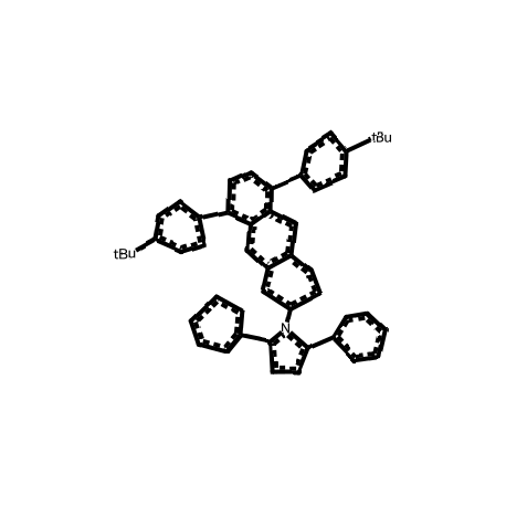 CC(C)(C)c1ccc(-c2ccc(-c3ccc(C(C)(C)C)cc3)c3cc4cc(-n5c(-c6ccccc6)ccc5-c5ccccc5)ccc4cc23)cc1